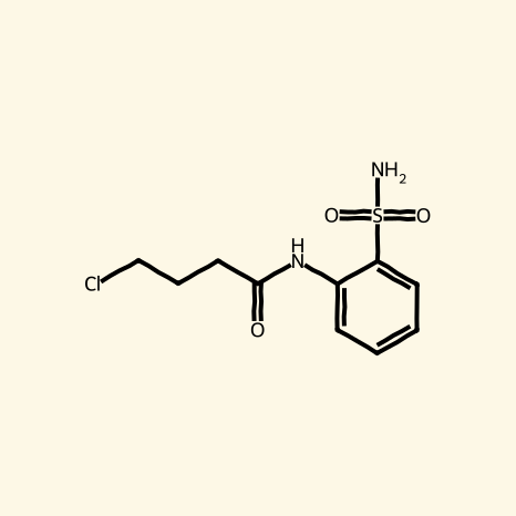 NS(=O)(=O)c1ccccc1NC(=O)CCCCl